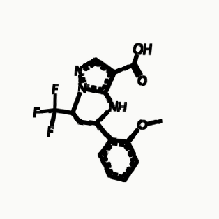 COc1ccccc1C1CC(C(F)(F)F)n2ncc(C(=O)O)c2N1